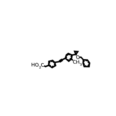 Cc1cc(C#Cc2ccc(CC(=O)O)cc2)ccc1C1(OCc2ccccc2)CC1